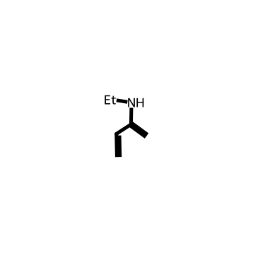 C=CC(=C)NCC